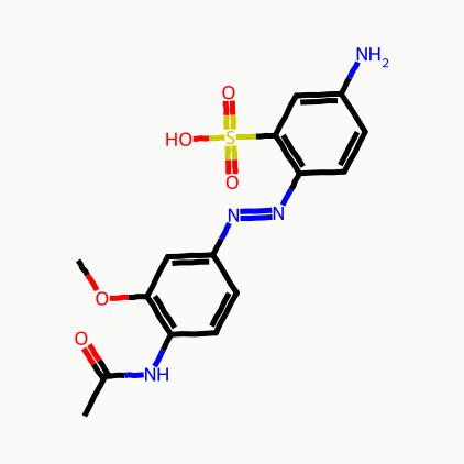 COc1cc(N=Nc2ccc(N)cc2S(=O)(=O)O)ccc1NC(C)=O